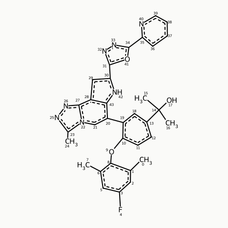 Cc1cc(F)cc(C)c1Oc1ccc(C(C)(C)O)cc1-c1cn2c(C)nnc2c2cc(-c3nnc(-c4ccccn4)o3)[nH]c12